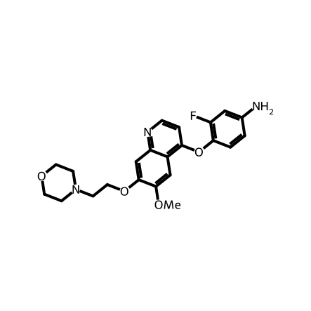 COc1cc2c(Oc3ccc(N)cc3F)ccnc2cc1OCCN1CCOCC1